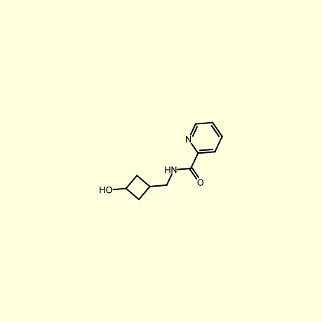 O=C(NCC1CC(O)C1)c1ccccn1